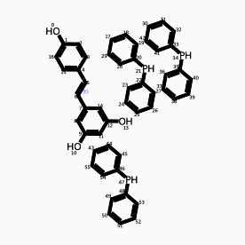 Oc1ccc(/C=C/c2cc(O)cc(O)c2)cc1.c1ccc(Pc2ccccc2)cc1.c1ccc(Pc2ccccc2)cc1.c1ccc(Pc2ccccc2)cc1